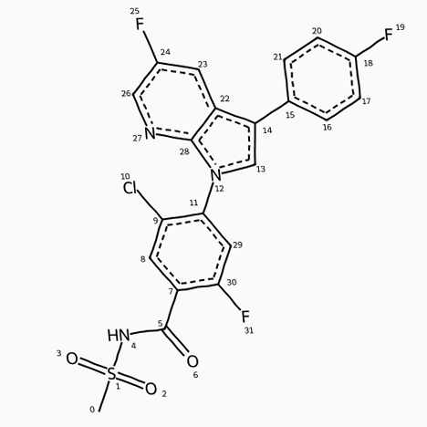 CS(=O)(=O)NC(=O)c1cc(Cl)c(-n2cc(-c3ccc(F)cc3)c3cc(F)cnc32)cc1F